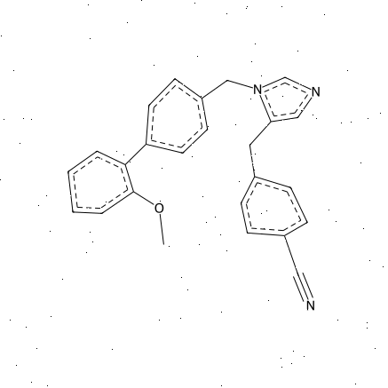 COc1ccccc1-c1ccc(Cn2cncc2Cc2ccc(C#N)cc2)cc1